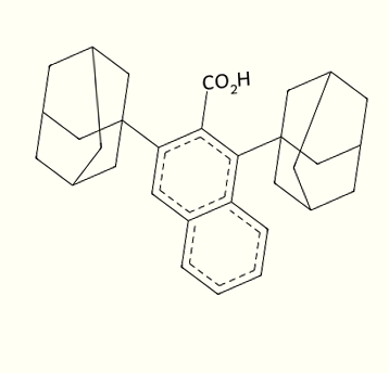 O=C(O)c1c(C23CC4CC(CC(C4)C2)C3)cc2ccccc2c1C12CC3CC(CC(C3)C1)C2